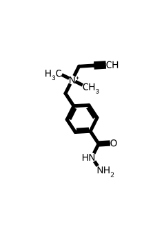 C#CC[N+](C)(C)Cc1ccc(C(=O)NN)cc1